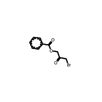 O=C(CBr)COC(=O)c1ccccc1